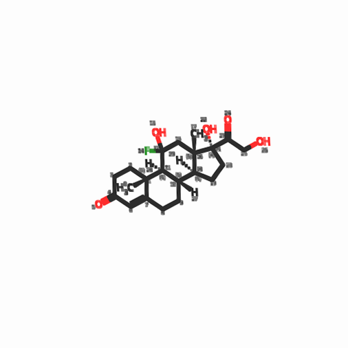 C[C@]12CCC(=O)C=C1CC[C@@H]1[C@@H]2C(O)(F)C[C@@]2(C)[C@H]1CC[C@]2(O)C(=O)CO